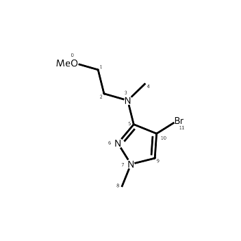 COCCN(C)c1nn(C)cc1Br